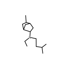 CCN(CCC(C)C)C1CC2CC1CC2C